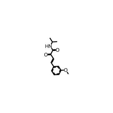 COc1cccc(/C=C/C(=O)C(=O)NC(C)C)c1